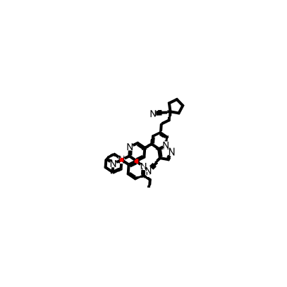 CCc1ccc(CN2C3CC2CN(c2ccc(-c4cc(CCC5(C#N)CCCC5)cn5ncc(C#N)c45)cn2)C3)cn1